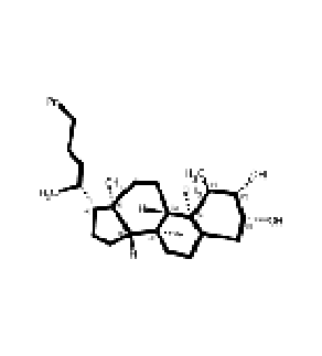 CC(C)CCCC(C)[C@H]1CC[C@H]2[C@@H]3CCC4C[C@@H](O)[C@@H](O)[C@H](C)[C@]4(C)[C@H]3CC[C@]12C